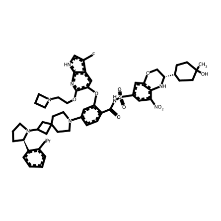 CC(C)c1ccccc1[C@H]1CCCN1C1CC2(CCN(c3ccc(C(=O)NS(=O)(=O)c4cc5c(c([N+](=O)[O-])c4)N[C@@H](C4CCC(C)(O)CC4)CO5)c(Oc4cc5c(F)c[nH]c5nc4OCCN4CCC4)c3)CC2)C1